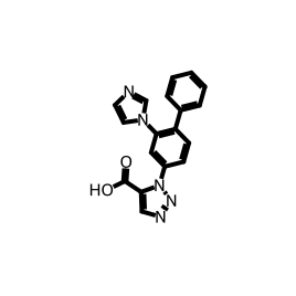 O=C(O)c1cnnn1-c1ccc(-c2ccccc2)c(-n2ccnc2)c1